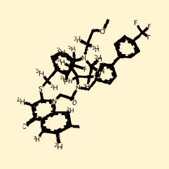 [2H]c1c(C)c([2H])c2c(c1[2H])c(=O)c([2H])c(SC([2H])([2H])c1cccc(F)c1F)n2CC(=O)N(Cc1ccc(-c2ccc(C(F)(F)F)cc2)cc1)C1([2H])C([2H])([2H])C([2H])([2H])N(C([2H])([2H])COC)C([2H])([2H])C1([2H])[2H]